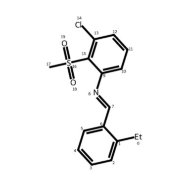 CCc1ccccc1/C=N/c1cccc(Cl)c1S(C)(=O)=O